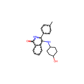 Cc1ccc(-c2[nH]c(=O)c3ccccc3c2NC2CCC(O)CC2)cc1